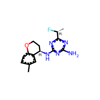 Cc1ccc2c(c1)[C@H](Nc1nc(N)nc([C@@H](C)F)n1)CCO2